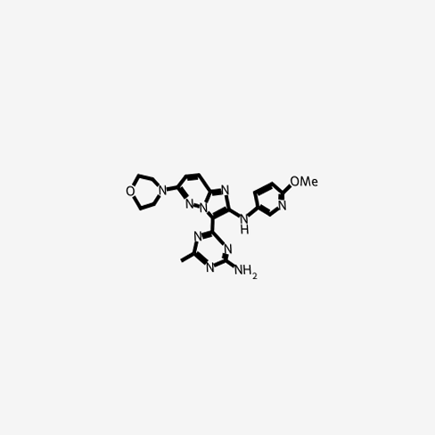 COc1ccc(Nc2nc3ccc(N4CCOCC4)nn3c2-c2nc(C)nc(N)n2)cn1